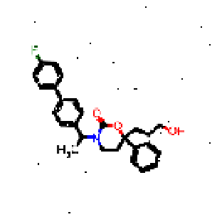 CC(c1ccc(-c2ccc(F)cc2)cc1)N1CCC(CCCO)(c2ccccc2)OC1=O